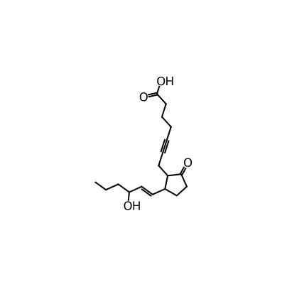 CCCC(O)C=CC1CCC(=O)C1CC#CCCCC(=O)O